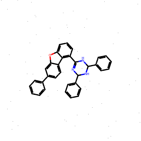 c1ccc(-c2ccc3c(c2)oc2cccc(C4=NC(c5ccccc5)NC(c5ccccc5)N4)c23)cc1